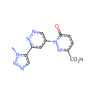 Cn1nncc1-c1cc(-n2nc(C(=O)O)ccc2=O)cnn1